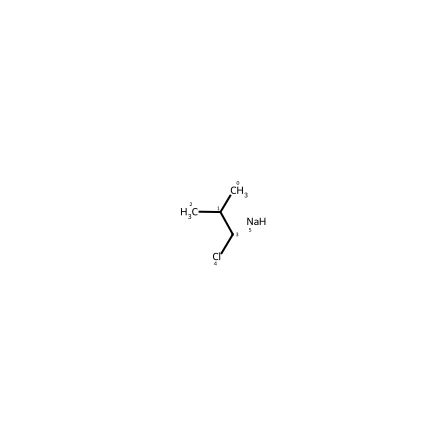 CC(C)CCl.[NaH]